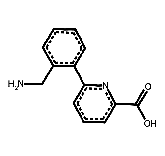 NCc1ccccc1-c1cccc(C(=O)O)n1